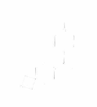 C=C(C1CCN(C)CC1)N1CCC2(CC1)CNC2